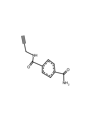 C#CCNC(=O)c1ccc(C(N)=O)cc1